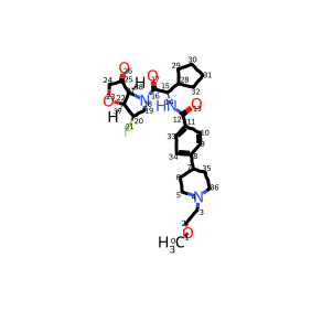 COCCN1CCC(c2ccc(C(=O)N[C@H](C(=O)N3C[C@@H](F)[C@H]4OCC(=O)[C@H]43)C3CCCC3)cc2)CC1